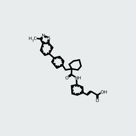 Cc1nsc2cc(-c3ccc(CC4(C(=O)Nc5cccc(/C=C/C(=O)O)c5)CCCCC4)cc3)ccc12